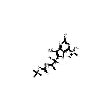 CC(NC(=O)OC(C)(C)C)C(F)(F)c1oc2c(S(C)(=O)=O)nc(Cl)nc2c1Br